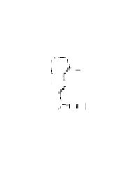 CC1=C(C=CC(C)O)C(C)(C)CCC1